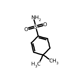 CC1(C)C=CC(S(N)(=O)=O)=CC1